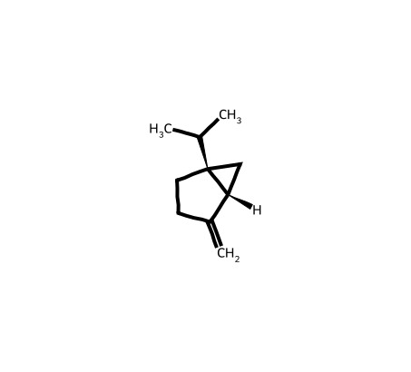 C=C1CC[C@]2(C(C)C)C[C@H]12